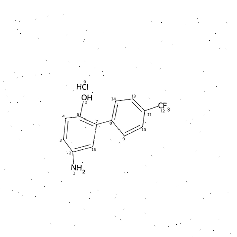 Cl.Nc1ccc(O)c(-c2ccc(C(F)(F)F)cc2)c1